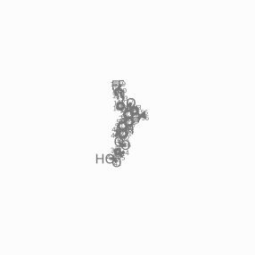 CC1([C@@H]2CC[C@]3(C(=O)N4CCC[C@H]4CN4CCC(F)(F)C4)CC[C@]4(C)[C@H](CC[C@@H]5[C@@]6(C)CC[C@H](OC(=O)[C@H]7C[C@@H](C(=O)O)C7(C)C)C7(C)C[C@]76CC[C@]54C)[C@@H]23)CC1